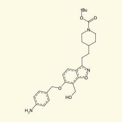 CC(C)(C)OC(=O)N1CCC(CCc2noc3c(CO)c(OCc4ccc(N)cc4)ccc23)CC1